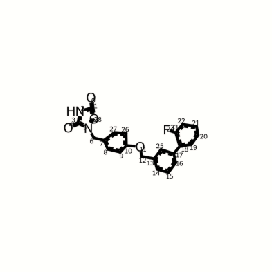 O=c1[nH]c(=O)n(Cc2ccc(OCc3cccc(-c4ccccc4F)c3)cc2)o1